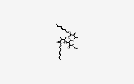 CCC=CCCOC(=O)C(C)C(C)NC(CSC(C)C(C)C(=O)OCCC=CCC)C(=O)OCC